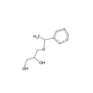 CC(OCC(O)CO)c1ccccc1